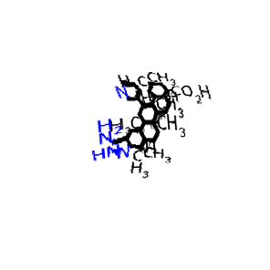 CC1(C)C[C@@H]2C3=C(c4cccnc4)CC4[C@@]5(C)Cc6c(n[nH]c6N)C(C)(C)[C@@H]5CC[C@@]4(C)[C@]3(C)CC[C@@H]2[C@H](C(=O)O)C1